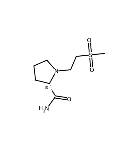 CS(=O)(=O)CCN1CC[CH][C@H]1C(N)=O